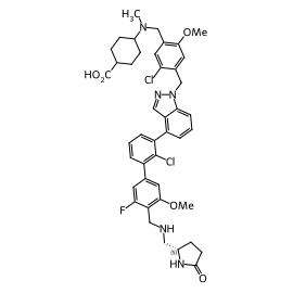 COc1cc(Cn2ncc3c(-c4cccc(-c5cc(F)c(CNC[C@@H]6CCC(=O)N6)c(OC)c5)c4Cl)cccc32)c(Cl)cc1CN(C)C1CCC(C(=O)O)CC1